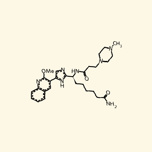 COc1nc2ccccc2cc1-c1cnc([C@H](CCCCCC(N)=O)NC(=O)CCN2CCN(C)CC2)[nH]1